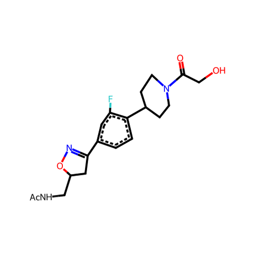 CC(=O)NCC1CC(c2ccc(C3CCN(C(=O)CO)CC3)c(F)c2)=NO1